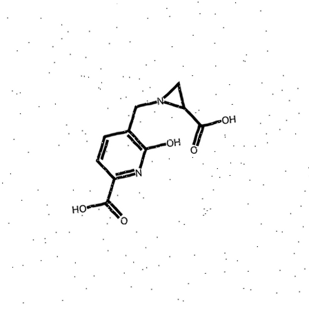 O=C(O)c1ccc(CN2CC2C(=O)O)c(O)n1